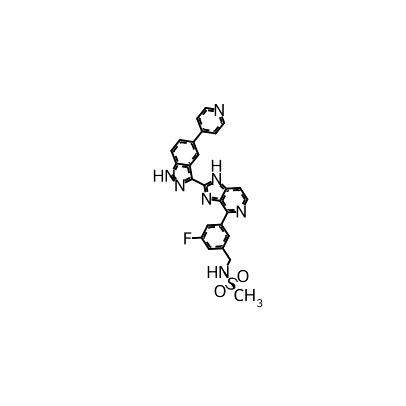 CS(=O)(=O)NCc1cc(F)cc(-c2nccc3[nH]c(-c4n[nH]c5ccc(-c6ccncc6)cc45)nc23)c1